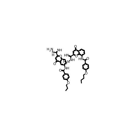 CCCCOc1ccc(C(=O)Nc2cccc3c(=O)cc(C(=N)NN)oc23)cc1.CCCOc1ccc(C(=O)Nc2ccc3oc(C(=N)NN)cc(=O)c3c2)cc1